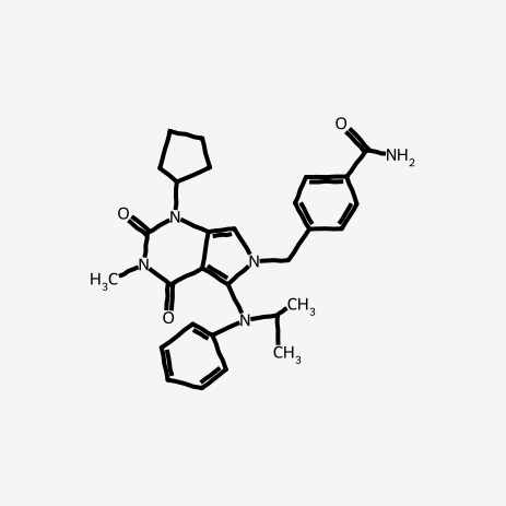 CC(C)N(c1ccccc1)c1c2c(=O)n(C)c(=O)n(C3CCCC3)c2cn1Cc1ccc(C(N)=O)cc1